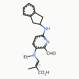 CCN(/C=C(\C)C(=O)O)c1ccc(NC2Cc3ccccc3C2)nc1C=O